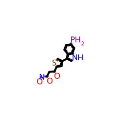 O=NC(=O)CC(=O)c1cc(-c2c[nH]c3cc(P)ccc23)cs1